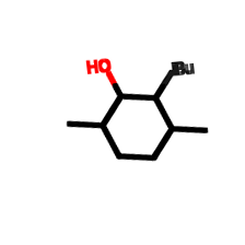 CCC(C)C1C(C)CCC(C)C1O